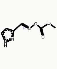 COC(=O)O/N=C/c1cc[nH]n1